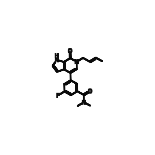 CC=CCn1cc(-c2cc(F)cc(C(=O)N(C)C)c2)c2cc[nH]c2c1=O